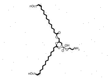 CCCCCCCC/C=C\CCCCCCCCCCCC(=O)OCC(COP(=O)(O)OCCN)OC(=O)CCCCCCCCCCC/C=C\CCCCCCCC